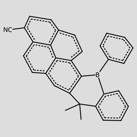 CC1(C)c2ccccc2B(c2ccccc2)c2c1cc1ccc3c(C#N)ccc4ccc2c1c43